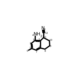 Cc1cc(N)c2c(c1)CCCC2C#N